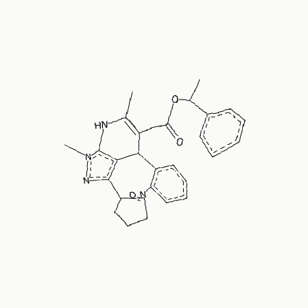 CC1=C(C(=O)OC(C)c2ccccc2)C(c2ccccc2[N+](=O)[O-])c2c(C3CCCC3)nn(C)c2N1